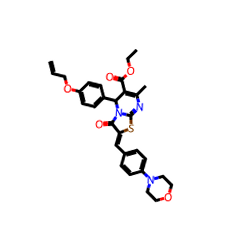 C=CCOc1ccc(C2C(C(=O)OCC)=C(C)N=c3s/c(=C\c4ccc(N5CCOCC5)cc4)c(=O)n32)cc1